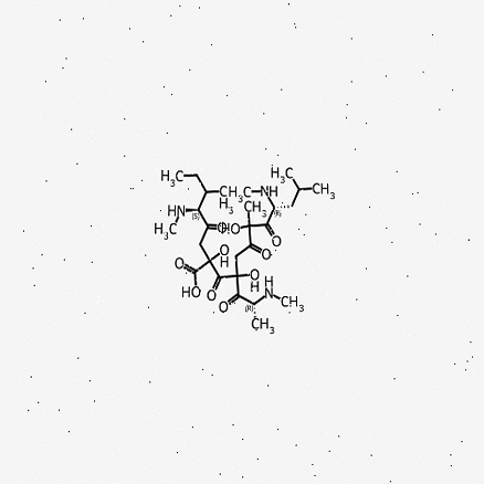 CCC(C)[C@H](NC)C(=O)CC(O)(C(=O)O)C(=O)C(O)(CC(=O)C(C)(O)C(=O)[C@@H](CC(C)C)NC)C(=O)[C@@H](C)NC